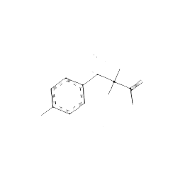 Cl.N[C@@H](c1ccc(F)cc1)C(F)(F)C(=O)O